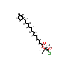 CC(C)(OC(=O)CCCCCCCCCCCC[C@@H]1C=CCC1)C(=O)Cl